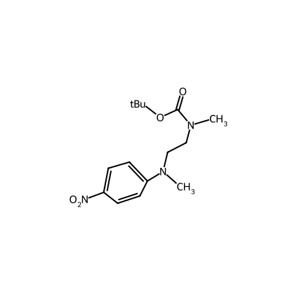 CN(CCN(C)c1ccc([N+](=O)[O-])cc1)C(=O)OC(C)(C)C